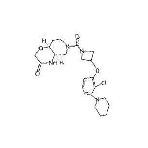 O=C1CO[C@H]2CCN(C(=O)N3CC(Oc4cccc(N5CCCCC5)c4Cl)C3)C[C@H]2N1